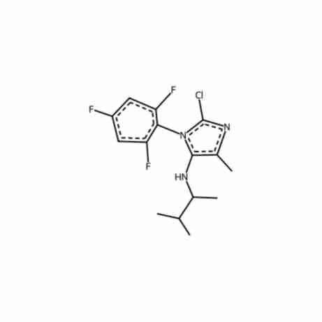 Cc1nc(Cl)n(-c2c(F)cc(F)cc2F)c1NC(C)C(C)C